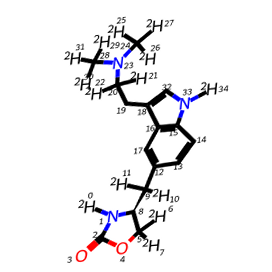 [2H]N1C(=O)OC([2H])([2H])[C@@H]1C([2H])([2H])c1ccc2c(c1)c(CC([2H])([2H])N(C([2H])([2H])[2H])C([2H])([2H])[2H])cn2[2H]